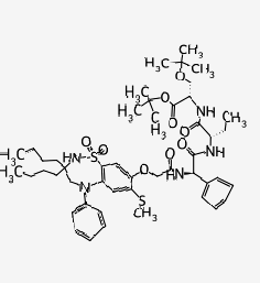 CCCCC1(CCCC)CN(c2ccccc2)c2cc(SC)c(OCC(=O)N[C@@H](C(=O)N[C@@H](CC)C(=O)N[C@@H](COC(C)(C)C)C(=O)OC(C)(C)C)c3ccccc3)cc2S(=O)(=O)N1